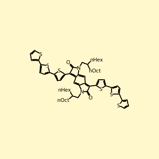 CCCCCCCCC(CCCCCC)CN1C(=O)C(c2ccc(-c3ccc(-c4cccs4)s3)s2)=c2cc3c(cc21)=C(c1ccc(-c2ccc(-c4cccs4)s2)s1)C(=O)N3CC(CCCCCC)CCCCCCCC